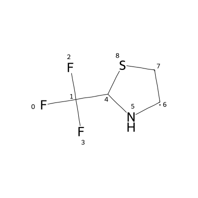 FC(F)(F)C1N[CH]CS1